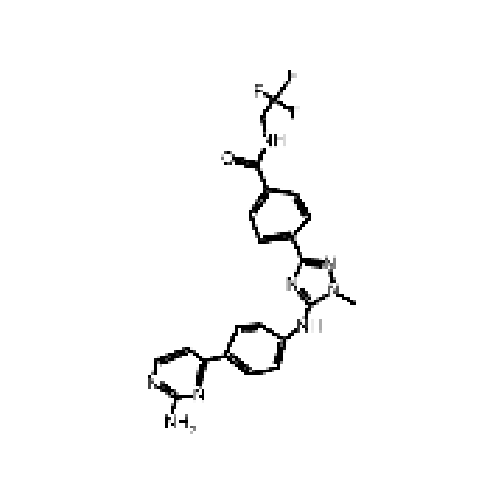 Cn1nc(-c2ccc(C(=O)NCC(F)(F)F)cc2)nc1Nc1ccc(-c2ccnc(N)n2)cc1